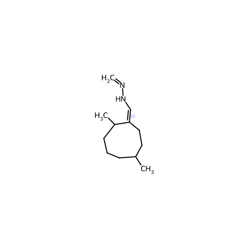 C=NN/C=C1/CCC(C)CCCC1C